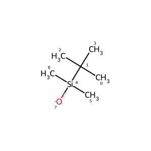 CC(C)(C)[Si](C)(C)[O]